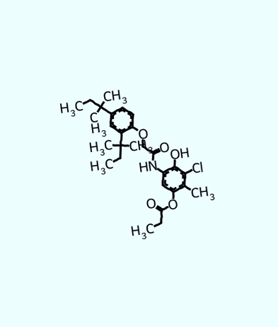 CCC(=O)Oc1cc(NC(=O)COc2ccc(C(C)(C)CC)cc2C(C)(C)CC)c(O)c(Cl)c1C